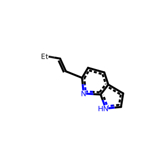 CC/C=C/c1ccc2cc[nH]c2n1